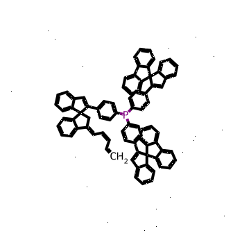 C=C/C=C\C=C1/CC2(C(c3ccc(P(c4ccc(C5=Cc6ccccc6C56c5ccccc5-c5ccccc56)cc4)c4ccc(C5=Cc6ccccc6C56c5ccccc5-c5ccccc56)cc4)cc3)=Cc3ccccc32)c2ccccc21